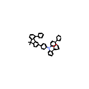 CC1(C)c2ccc(-c3ccc(N(c4ccc(-c5ccccc5)cc4)c4ccccc4-c4ccccc4)cc3)cc2-c2c(-c3ccccc3)cccc21